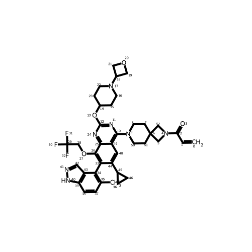 C=CC(=O)N1CC2(CCN(c3nc(OC4CCN(C5COC5)CC4)nc4c(OCC(F)(F)F)c(-c5c(C)ccc6[nH]ncc56)c(C5CC5)cc34)CC2)C1